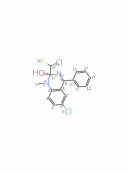 CN1c2ccc(Cl)cc2C(c2ccccc2)=NC1(O)C(F)Cl